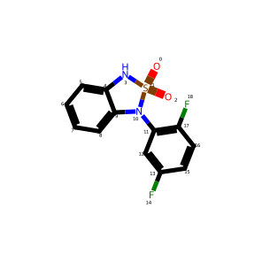 O=S1(=O)Nc2ccccc2N1c1cc(F)ccc1F